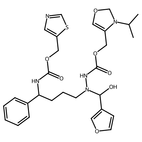 CC(C)N1COC=C1COC(=O)NN(CCCC(NC(=O)OCc1cncs1)c1ccccc1)C(O)c1ccoc1